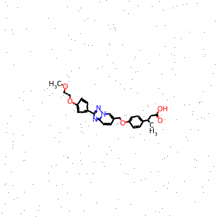 COCCOc1ccc(-c2nc3ccc(COc4ccc(C(C)CC(=O)O)cc4)cn3n2)cc1